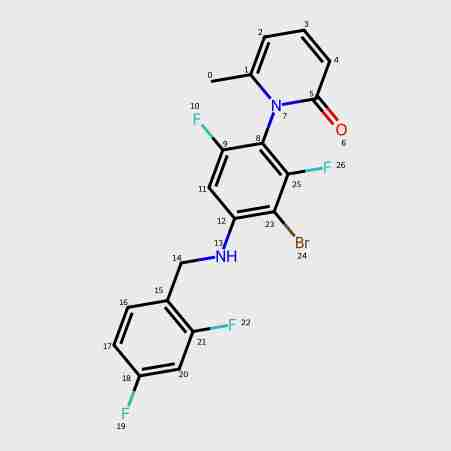 Cc1cccc(=O)n1-c1c(F)cc(NCc2ccc(F)cc2F)c(Br)c1F